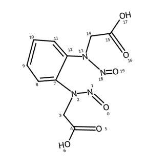 O=NN(CC(=O)O)c1ccccc1N(CC(=O)O)N=O